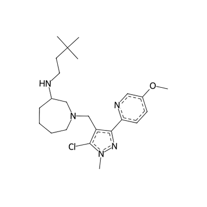 COc1ccc(-c2nn(C)c(Cl)c2CN2CCCCC(NCCC(C)(C)C)C2)nc1